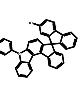 Oc1ccc2c(c1)C1(c3ccccc3-2)c2ccccc2-c2c1ccc1c2c2ccccc2n1-c1ccccc1